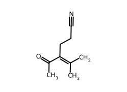 CC(=O)C(CCC#N)=C(C)C